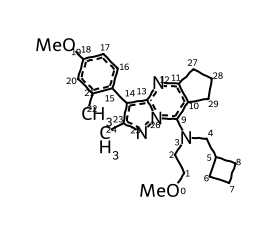 COCCN(CC1CCC1)c1c2c(nc3c(-c4ccc(OC)cc4C)c(C)nn13)CCC2